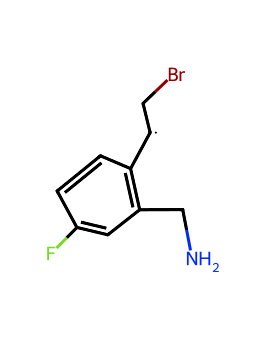 NCc1cc(F)ccc1[CH]CBr